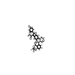 CNC(=O)c1c(-c2ccc(F)cc2)oc2cc(N3CCOCC3)c(OCc3cccc4c3C(=O)OC(C)(C)O4)cc12